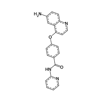 Nc1ccc2nccc(Oc3ccc(C(=O)Nc4ccccn4)cc3)c2c1